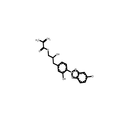 C=C(C)C(=O)OCC(O)Cc1ccc(-n2nc3ccc(Cl)cc3n2)c(O)c1